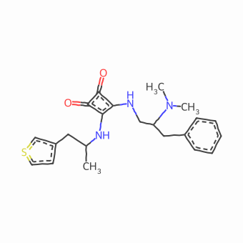 CC(Cc1ccsc1)Nc1c(NCC(Cc2ccccc2)N(C)C)c(=O)c1=O